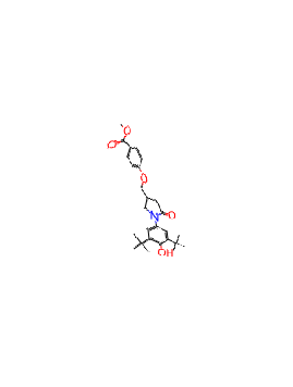 COC(=O)c1ccc(OCC2CC(=O)N(c3cc(C(C)(C)C)c(O)c(C(C)(C)C)c3)C2)cc1